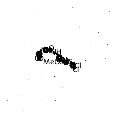 COc1cc(CCNCC(=O)N2CCN(Cc3ccc4c(c3)OCO4)CC2)ccc1Oc1ccc(Sc2ccc(Cl)c(Cl)c2)cn1